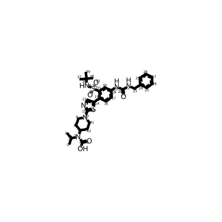 CC(C)N(C(=O)O)C1CCN(c2ncc(-c3ccc(NC(=O)NCc4ccccc4)cc3S(=O)(=O)NC(C)(C)C)s2)CC1